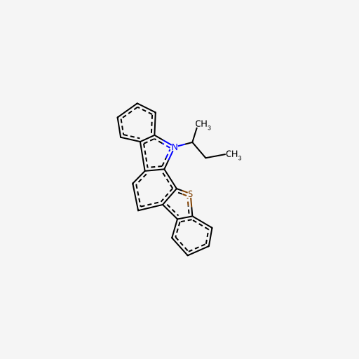 CCC(C)n1c2ccccc2c2ccc3c4ccccc4sc3c21